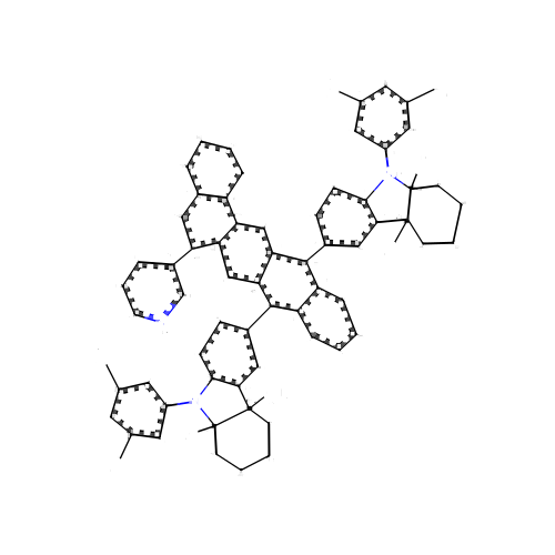 Cc1cc(C)cc(N2c3ccc(-c4c5ccccc5c(-c5ccc6c(c5)C5(C)CCCCC5(C)N6c5cc(C)cc(C)c5)c5cc6c(cc45)c(-c4cccnc4)cc4ccccc46)cc3C3(C)CCCCC23C)c1